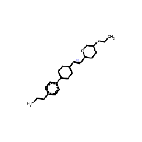 CCCc1ccc(C2CCC(/C=C/C3CCC(OCC)CO3)CC2)cc1